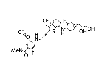 CNC(=O)c1cc(OCC(F)(F)F)c(NCC#Cc2sc3c(NC4CCN(CC(O)CO)CC4F)cccc3c2CC(F)(F)F)cc1F